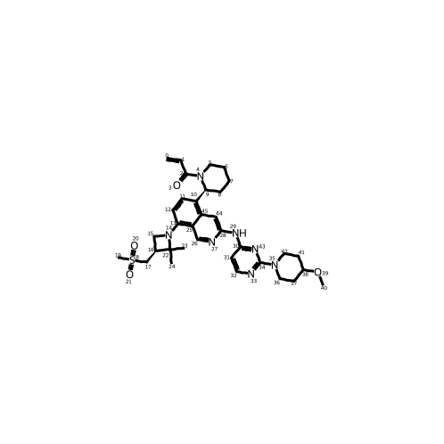 C=CC(=O)N1CCCC[C@H]1c1ccc(N2C[C@H](CS(C)(=O)=O)C2(C)C)c2cnc(Nc3ccnc(N4CCC(OC)CC4)n3)cc12